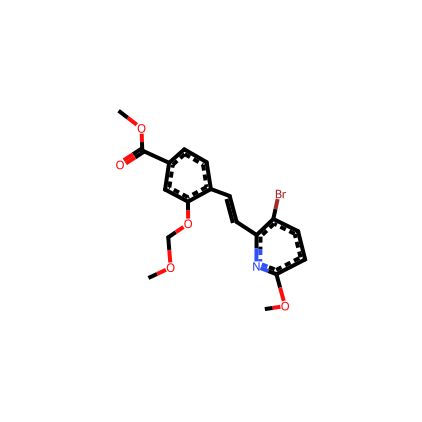 COCOc1cc(C(=O)OC)ccc1C=Cc1nc(OC)ccc1Br